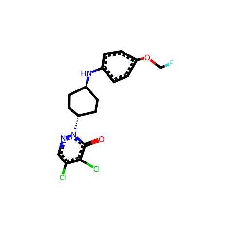 O=c1c(Cl)c(Cl)cnn1[C@H]1CC[C@H](Nc2ccc(OCF)cc2)CC1